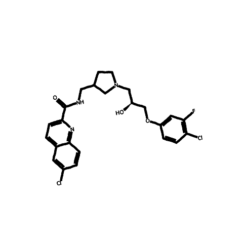 O=C(NCC1CCN(C[C@H](O)COc2ccc(Cl)c(F)c2)C1)c1ccc2cc(Cl)ccc2n1